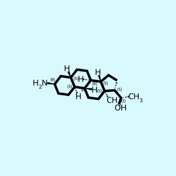 C[C@H](O)[C@H]1CC[C@H]2[C@@H]3CC[C@H]4C[C@H](N)CC[C@@H]4[C@H]3CC[C@]12C